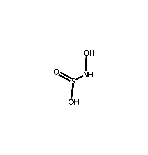 O=S(O)NO